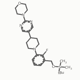 CC(C)(C)[Si](C)(C)OCc1cccc(N2CCC(c3cnc(N4CCOCC4)nc3)CC2)c1F